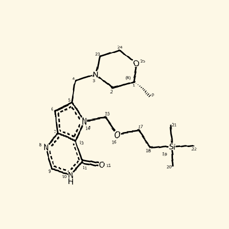 C[C@@H]1CN(Cc2cc3nc[nH]c(=O)c3n2COCC[Si](C)(C)C)CCO1